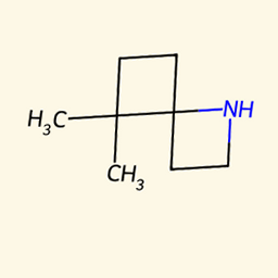 CC1(C)CCC12CCN2